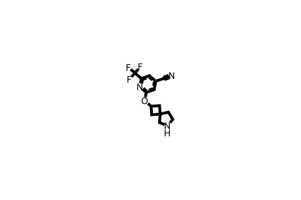 N#Cc1cc(OC2CC3(CCNC3)C2)nc(C(F)(F)F)c1